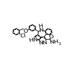 NC(=O)c1nnc2[nH]cc3c2c1-c1ccccc1NC3c1cccc(OCc2ccccc2Cl)c1